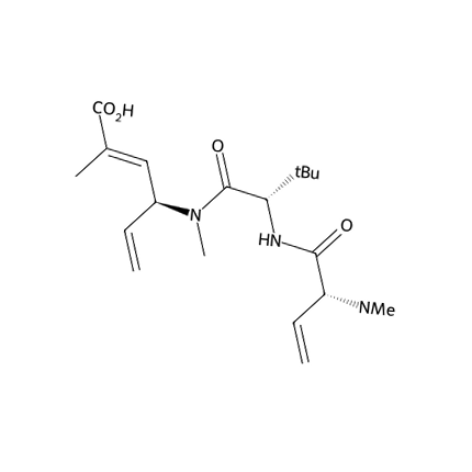 C=C[C@@H](NC)C(=O)N[C@H](C(=O)N(C)[C@@H](C=C)/C=C(\C)C(=O)O)C(C)(C)C